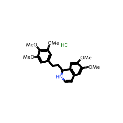 COc1cc2c(cc1OC)C(CCc1cc(OC)c(OC)c(OC)c1)NC=C2.Cl